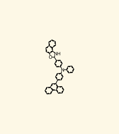 c1ccc(N(c2ccc(-c3cc4ccccc4c4ccccc34)cc2)c2ccc(C3Nc4c(ccc5ccccc45)O3)cc2)cc1